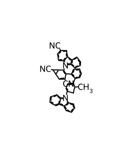 CC1CC(n2c3ccccc3c3ccccc32)=CC=C1c1ccccc1C1=C(n2c3ccccc3c3cc(C#N)ccc32)C2C(C#N)C2C=C1C#N